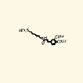 COc1ccc(C=CC(=O)NCCCCCCCS(=O)(=O)O)cc1OC